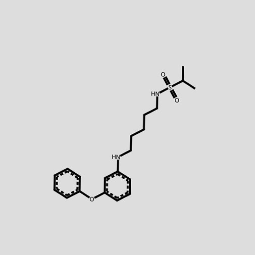 CC(C)S(=O)(=O)NCCCCCNc1cccc(Oc2ccccc2)c1